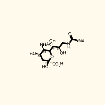 CCCCC(=O)NC[C@@H](O)[C@@H](O)C1O[C@](O)(C(=O)O)C[C@@H](O)[C@H]1NC(C)=O